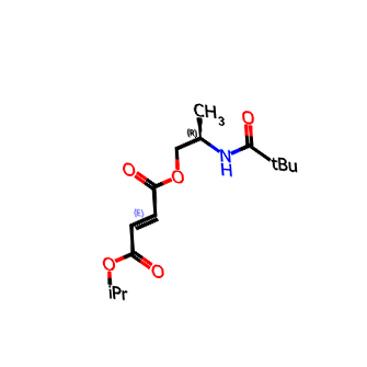 CC(C)OC(=O)/C=C/C(=O)OC[C@@H](C)NC(=O)C(C)(C)C